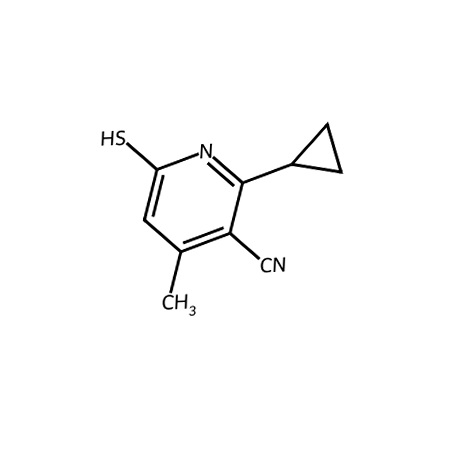 Cc1cc(S)nc(C2CC2)c1C#N